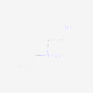 N.NCCNCC(=O)O